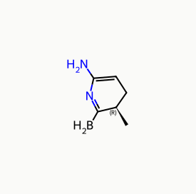 BC1=NC(N)=CC[C@H]1C